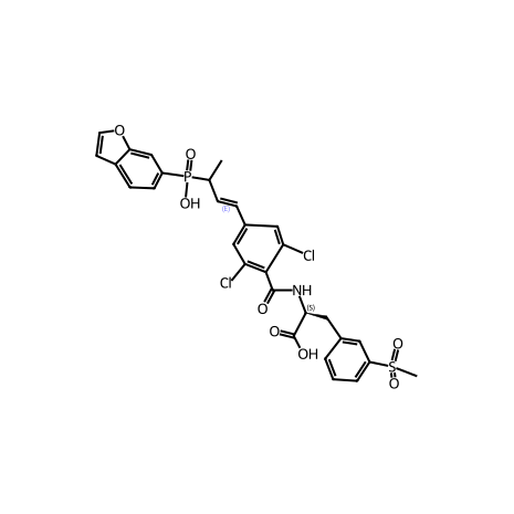 CC(/C=C/c1cc(Cl)c(C(=O)N[C@@H](Cc2cccc(S(C)(=O)=O)c2)C(=O)O)c(Cl)c1)P(=O)(O)c1ccc2ccoc2c1